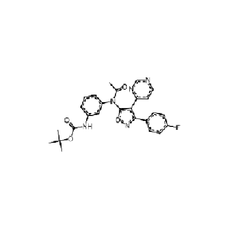 CC(=O)N(c1cccc(NC(=O)OC(C)(C)C)c1)c1onc(-c2ccc(F)cc2)c1-c1ccncn1